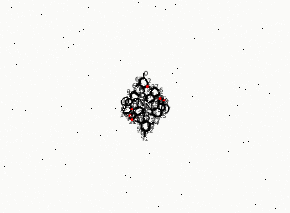 Cc1cc(C)c(B2c3ccc4oc5ccccc5c4c3N3c4cc5ccccc5c5c4N(c4cc6ccccc6c2c43)c2c(ccc3oc4ccccc4c23)B5c2c(C)cc(C)cc2C)c(C)c1